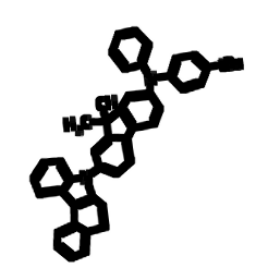 CC(C)(C)c1ccc(N(c2ccccc2)c2ccc3c(c2)C(C)(C)c2cc(-n4c5ccccc5c5c6ccccc6ccc54)ccc2-3)cc1